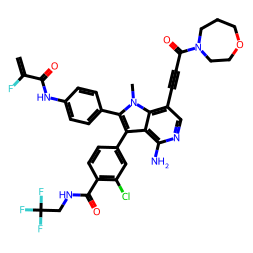 C=C(F)C(=O)Nc1ccc(-c2c(-c3ccc(C(=O)NCC(F)(F)F)c(Cl)c3)c3c(N)ncc(C#CC(=O)N4CCCOCC4)c3n2C)cc1